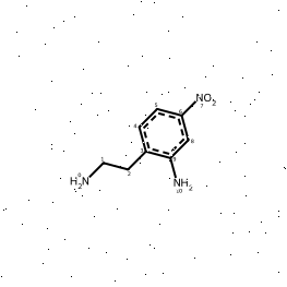 NCCc1ccc([N+](=O)[O-])cc1N